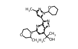 Cc1cc(-c2nsc3c(C(C)(C)O)cc(N4CCOCC4C)nc23)n(C2CCCCO2)n1